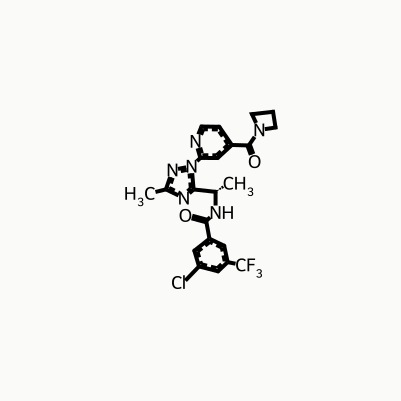 Cc1nc([C@H](C)NC(=O)c2cc(Cl)cc(C(F)(F)F)c2)n(-c2cc(C(=O)N3CCC3)ccn2)n1